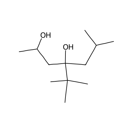 CC(C)CC(O)(CC(C)O)C(C)(C)C